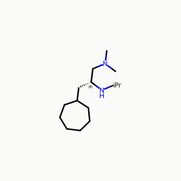 CC(C)N[C@H](CC1CCCCCC1)CN(C)C